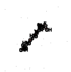 C#Cc1c(F)ccc2cc(O)cc(-c3ncc4c(N5CC6CCC(C5)N6)nc(OC[C@@]56CC[C@@H](COC(=O)NCCOCCOCCC(=O)Nc7ccc8c(c7)C(=O)N(C7CCC(=O)NC7=O)C8=O)N5CC(C)C6)nc4c3F)c12